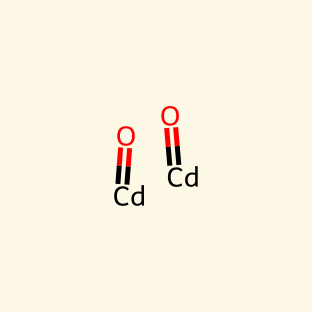 [O]=[Cd].[O]=[Cd]